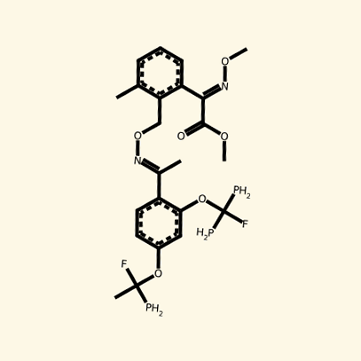 CO/N=C(/C(=O)OC)c1cccc(C)c1CO/N=C(\C)c1ccc(OC(C)(F)P)cc1OC(F)(P)P